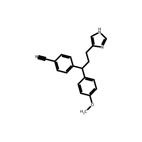 COc1ccc(C(CCc2c[nH]cn2)c2ccc(C#N)cc2)cc1